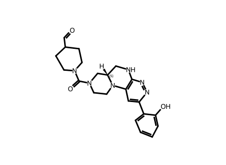 O=CC1CCN(C(=O)N2CCN3c4cc(-c5ccccc5O)nnc4NC[C@H]3C2)CC1